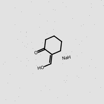 O=C1CCCCC1=CO.[NaH]